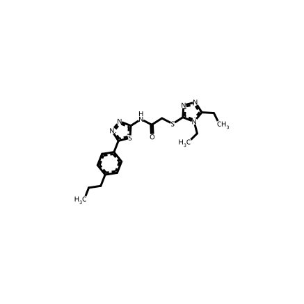 CCCc1ccc(-c2nnc(NC(=O)CSc3nnc(CC)n3CC)s2)cc1